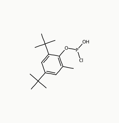 Cc1cc(C(C)(C)C)cc(C(C)(C)C)c1OP(O)Cl